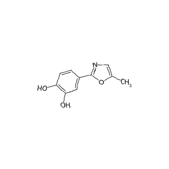 Cc1cnc(-c2ccc(O)c(O)c2)o1